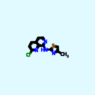 Cc1csc(Nc2nccc3ccc(Cl)nc23)n1